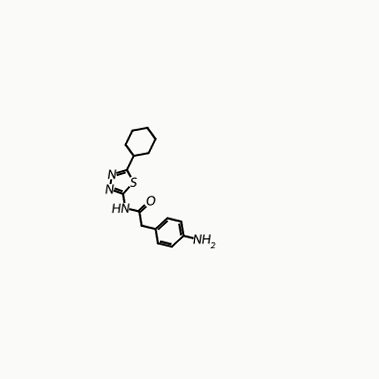 Nc1ccc(CC(=O)Nc2nnc(C3CCCCC3)s2)cc1